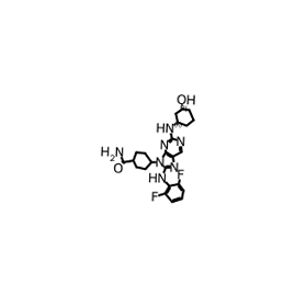 NC(=O)C1CCC(n2c(Nc3c(F)cccc3F)nc3cnc(N[C@@H]4CCC[C@@H](O)C4)nc32)CC1